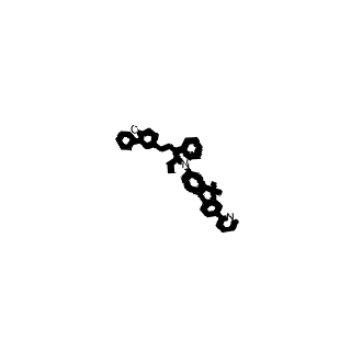 C=Cc1c(/C=C/c2ccc3oc4ccccc4c3c2)c2ccccc2n1-c1ccc2c(c1)C(C)(C)c1cc(-c3ccccn3)ccc1-2